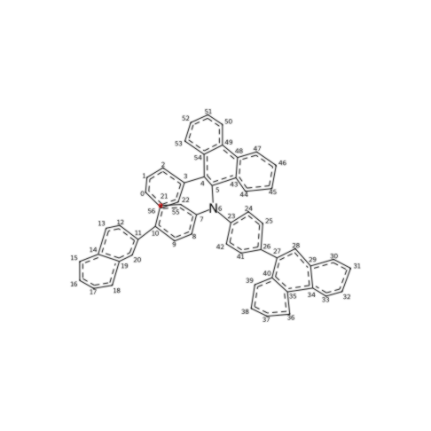 c1ccc(-c2c(N(c3ccc(-c4ccc5ccccc5c4)cc3)c3ccc(-c4cc5ccccc5c5ccccc45)cc3)c3ccccc3c3ccccc23)cc1